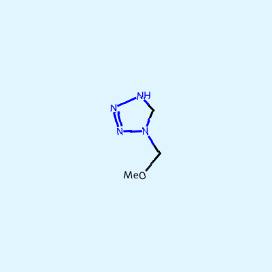 COCN1CNN=N1